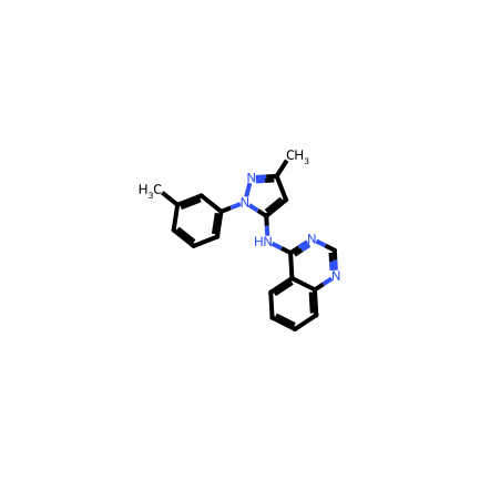 Cc1cccc(-n2nc(C)cc2Nc2ncnc3ccccc23)c1